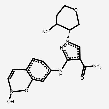 N#CC1CCOC[C@@H]1n1cc(C(N)=O)c(Nc2ccc3c(c2)OB(O)C=C3)n1